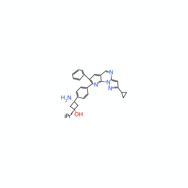 CC(C)[C@]1(O)C[C@](N)(c2ccc(-c3nc4c(cnc5cc(C6CC6)nn54)cc3-c3ccccc3)cc2)C1